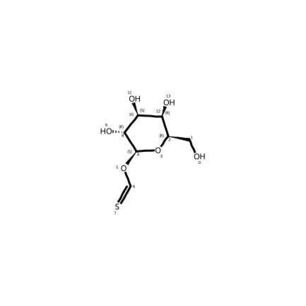 OC[C@H]1O[C@@H](OC=S)[C@H](O)[C@@H](O)[C@H]1O